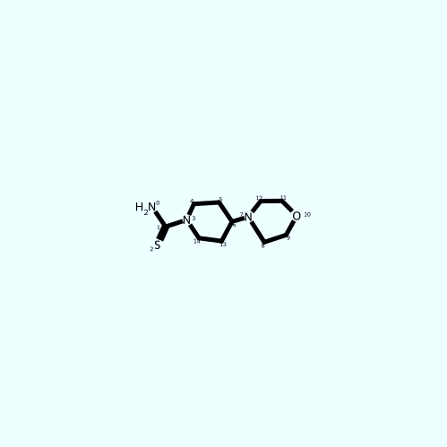 NC(=S)N1CCC(N2CCOCC2)CC1